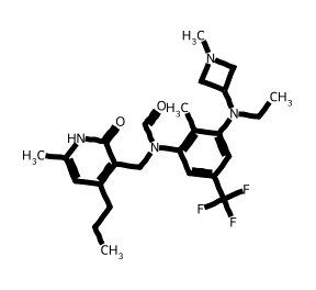 CCCc1cc(C)[nH]c(=O)c1CN(C=O)c1cc(C(F)(F)F)cc(N(CC)C2CN(C)C2)c1C